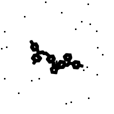 Cc1ccc(C(=C/C=C/c2ccc(N3c4ccc(/C=C(\c5ccccc5)c5ccc(C)cc5)cc4C4CCCC43)cc2)c2ccc(C)cc2)cc1